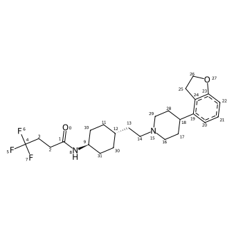 O=C(CCC(F)(F)F)N[C@H]1CC[C@H](CCN2CCC(c3cccc4c3CCO4)CC2)CC1